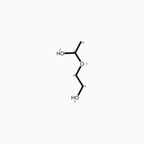 C[C](O)OCCO